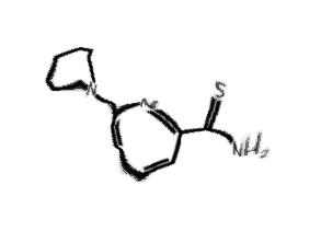 NC(=S)c1cccc(N2CCC2)n1